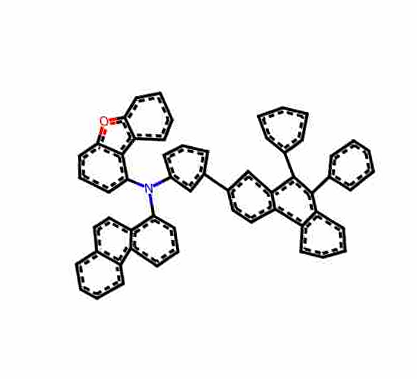 c1ccc(-c2c(-c3ccccc3)c3cc(-c4cccc(N(c5cccc6c5ccc5ccccc56)c5cccc6oc7ccccc7c56)c4)ccc3c3ccccc23)cc1